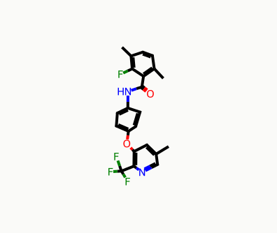 Cc1cnc(C(F)(F)F)c(Oc2ccc(NC(=O)c3c(C)ccc(C)c3F)cc2)c1